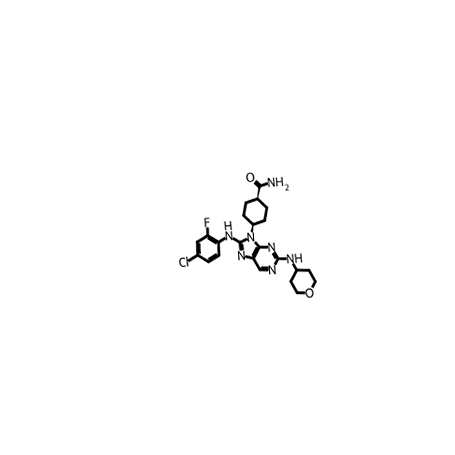 NC(=O)[C@H]1CC[C@@H](n2c(Nc3ccc(Cl)cc3F)nc3cnc(NC4CCOCC4)nc32)CC1